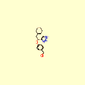 O=Cc1ccc(OC(CC2CCCCC2)c2c[nH]nn2)cc1